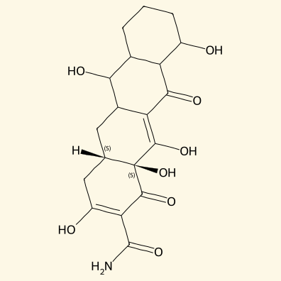 NC(=O)C1=C(O)C[C@@H]2CC3C(=C(O)[C@]2(O)C1=O)C(=O)C1C(O)CCCC1C3O